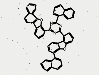 c1ccc2c(-c3nc(-c4cccc5c4oc4c6ccccc6ccc54)nc(-c4cccc5oc6c(-c7cccc8ccccc78)cccc6c45)n3)cccc2c1